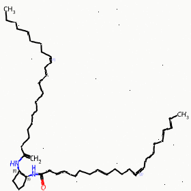 C=C(CCCCCCCCCCC/C=C\CCCCCCCC)N[C@@H]1CCC[C@@H]1NC(=O)CCCCCCCCCCC/C=C\CCCCCCCC